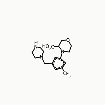 O=C(O)C1COCCN1c1cc(CN2CCNCC2)cc(C(F)(F)F)c1